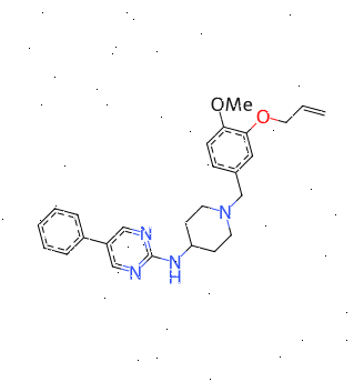 C=CCOc1cc(CN2CCC(Nc3ncc(-c4ccccc4)cn3)CC2)ccc1OC